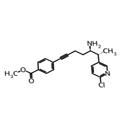 COC(=O)c1ccc(C#CCC[C@@H](N)[C@H](C)c2ccc(Cl)nc2)cc1